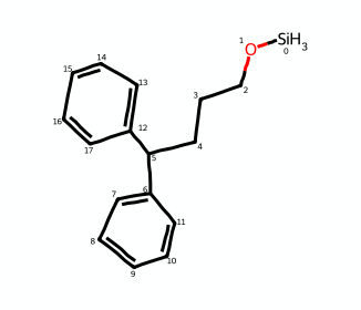 [SiH3]OCCCC(c1ccccc1)c1ccccc1